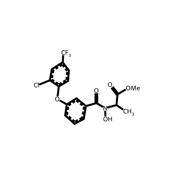 COC(=O)C(C)N(O)C(=O)c1cccc(Oc2ccc(C(F)(F)F)cc2Cl)c1